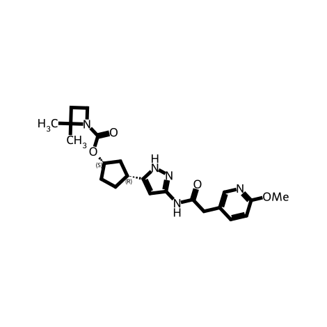 COc1ccc(CC(=O)Nc2cc([C@@H]3CC[C@H](OC(=O)N4CCC4(C)C)C3)[nH]n2)cn1